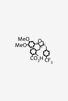 COc1ccc([C@H]2OC[C@H](Cc3ccc(C(F)(F)F)cc3)[C@H]2Cc2cccc(C(=O)O)c2C)cc1OC